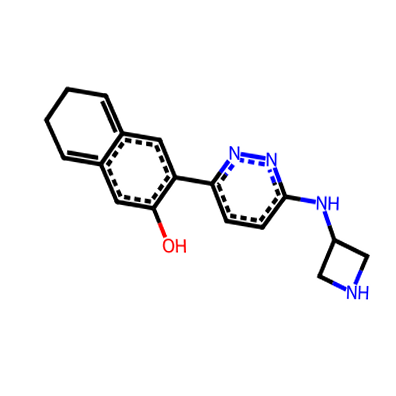 Oc1cc2c(cc1-c1ccc(NC3CNC3)nn1)=CCCC=2